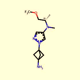 C[C@@H](COC(F)(F)F)N(C)c1cnn(C23CC(N)(C2)C3)c1